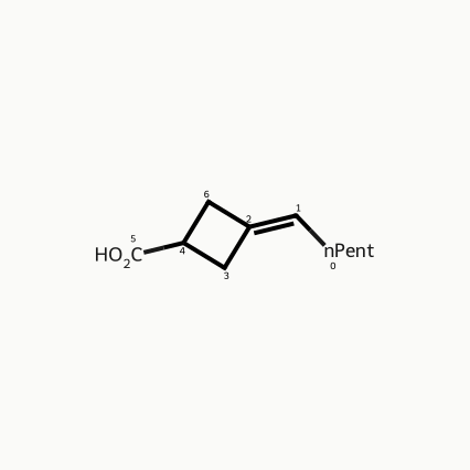 CCCCCC=C1CC(C(=O)O)C1